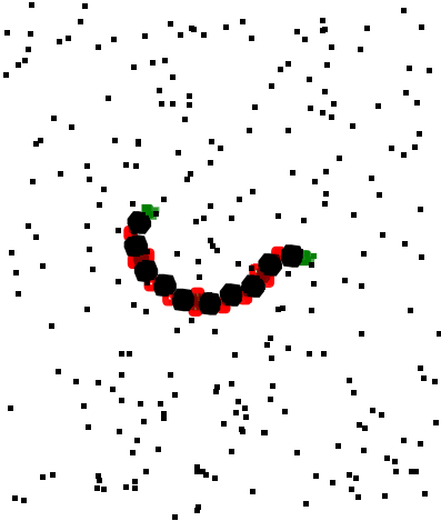 O=S(=O)(c1ccc(Oc2ccc(Br)cc2)cc1)c1ccc(Oc2cccc(Oc3ccc(S(=O)(=O)c4ccc(Oc5cccc(Oc6ccc(S(=O)(=O)c7ccc(Oc8ccc(Br)cc8)cc7)cc6)c5)cc4)cc3)c2)cc1